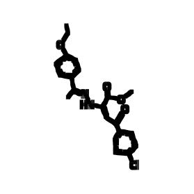 CCOc1ccc(C(C)=NNC(=CC(=O)c2ccc(Cl)cc2)C(=O)OC)cc1